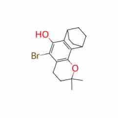 CC1(C)CCc2c(Br)c(O)c3c(c2O1)C1CCC3CC1